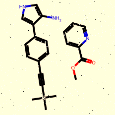 COC(=O)c1ccccn1.C[Si](C)(C)C#Cc1ccc(-c2c[nH]cc2N)cc1